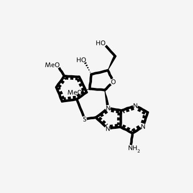 COc1ccc(Sc2nc3c(N)ncnc3n2[C@@H]2O[C@H](CO)[C@@H](O)[C@H]2OC)cc1